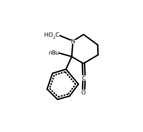 CCCCC1(c2ccccc2)C(=C=O)CCCN1C(=O)O